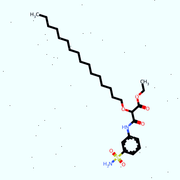 CCCCCCCCCCCCCCCCOC(C(=O)Nc1cccc(S(N)(=O)=O)c1)C(=O)OCC